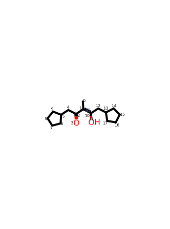 C/C(C(=O)CC1CCCC1)=C(/O)CC1CCCC1